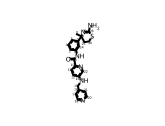 CC1(c2cccc(NC(=O)c3ccc(NCc4ccncc4)cn3)c2)CCSC(N)=N1